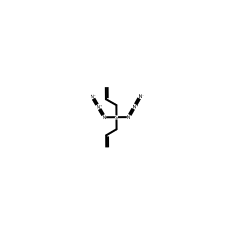 C=CCS(CC=C)(N=[N+]=[N-])N=[N+]=[N-]